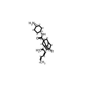 C=C(/C=C\C=C/C)[C@]12CC3CC(C(=O)N[C@H]4CC[C@H](N)CC4)(C[C@](CC)(C3)C1)C2